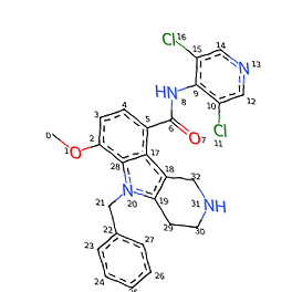 COc1ccc(C(=O)Nc2c(Cl)cncc2Cl)c2c3c(n(Cc4ccccc4)c12)CCNC3